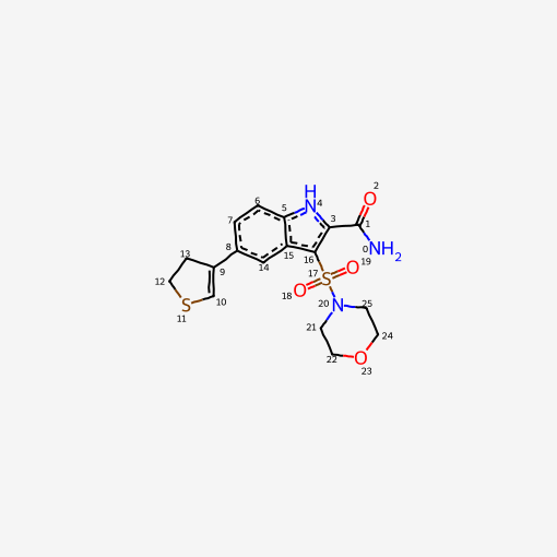 NC(=O)c1[nH]c2ccc(C3=CSCC3)cc2c1S(=O)(=O)N1CCOCC1